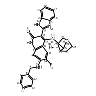 O=c1[nH]c2cc(NCc3ccncc3)c(F)cc2c(N[C@H]2CN3CCC2CC3)c1-c1nc2ccccc2[nH]1